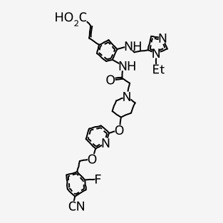 CCn1cncc1CNc1cc(/C=C/C(=O)O)ccc1NC(=O)CN1CCC(Oc2cccc(OCc3ccc(C#N)cc3F)n2)CC1